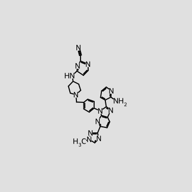 Cn1cnc(-c2ccc3nc(-c4cccnc4N)n(-c4ccc(CN5CCC(Nc6ccnc(C#N)n6)CC5)cc4)c3n2)n1